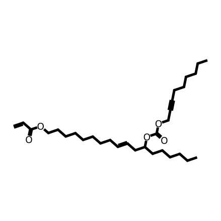 C=CC(=O)OCCCCCCCCC=CCC(CCCCCC)OC(=O)OCC#CCCCCCC